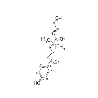 CCC(CCCC(C)(C)C(=O)OCCO)c1ccc(O)cc1